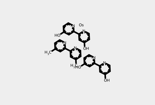 Cc1ccnc(-c2cc(C)ccn2)c1.Oc1ccnc(-c2cc(O)ccn2)c1.Oc1ccnc(-c2cc(O)ccn2)c1.[Os]